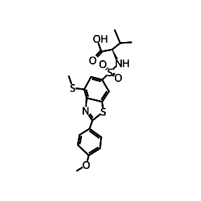 COc1ccc(-c2nc3c(SC)cc(S(=O)(=O)N[C@@H](C(=O)O)C(C)C)cc3s2)cc1